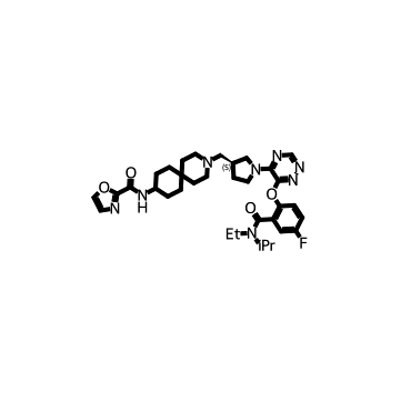 CCN(C(=O)c1cc(F)ccc1Oc1nncnc1N1CC[C@@H](CN2CCC3(CCC(NC(=O)c4ncco4)CC3)CC2)C1)C(C)C